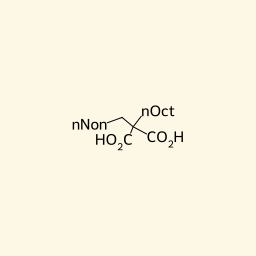 CCCCCCCCCCC(CCCCCCCC)(C(=O)O)C(=O)O